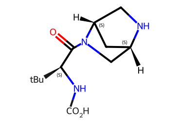 CC(C)(C)[C@H](NC(=O)O)C(=O)N1C[C@@H]2C[C@H]1CN2